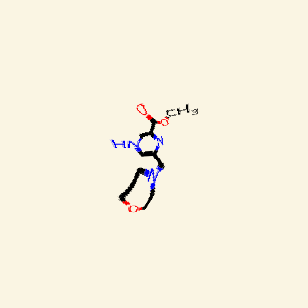 COC(=O)C1=NC(CN2CCOCC2)=CNC1